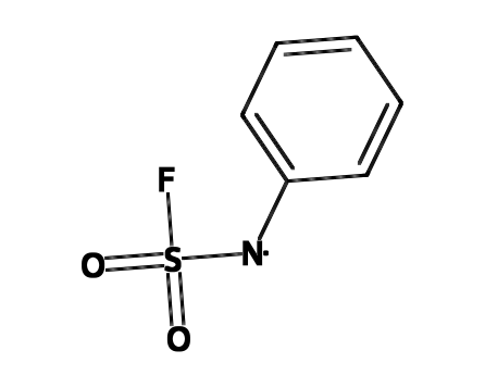 O=S(=O)(F)[N]c1ccccc1